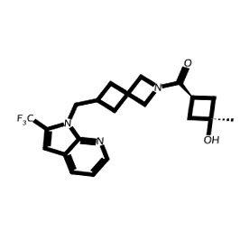 C[C@]1(O)C[C@@H](C(=O)N2CC3(CC(Cn4c(C(F)(F)F)cc5cccnc54)C3)C2)C1